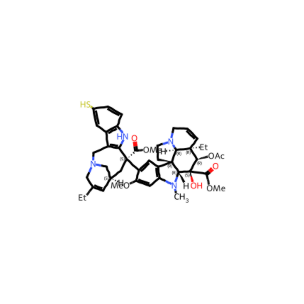 CCC1=C[C@H]2CN(C1)Cc1c([nH]c3ccc(S)cc13)[C@@](C(=O)OC)(c1cc3c(cc1OC)N(C)[C@H]1[C@@](O)(C(=O)OC)[C@H](OC(C)=O)[C@]4(CC)C=CCN5CC[C@]31[C@@H]54)C2